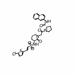 O=C(Nc1ccc2ccccc2c1)[C@@H]1CCCN1C(=O)CN1CCC[C@H](NS(=O)(=O)/C=C/c2ccc(Cl)s2)C1=O